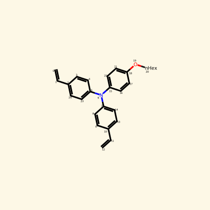 C=Cc1ccc(N(c2ccc(C=C)cc2)c2ccc(OCCCCCC)cc2)cc1